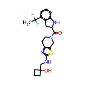 CC(F)(F)c1cccc2c1CC(C(=O)N1CCc3nc(NCC4(O)CCC4)sc3C1)N2